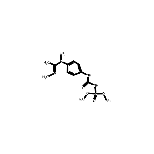 CCCCOP(=O)(NC(=O)Nc1ccc(N(C)C(C)=NC)cc1)OCCCC